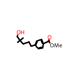 COC(=O)c1ccc(CCCC(C)(C)CO)cc1